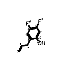 C=CCc1cc(F)c(F)cc1O